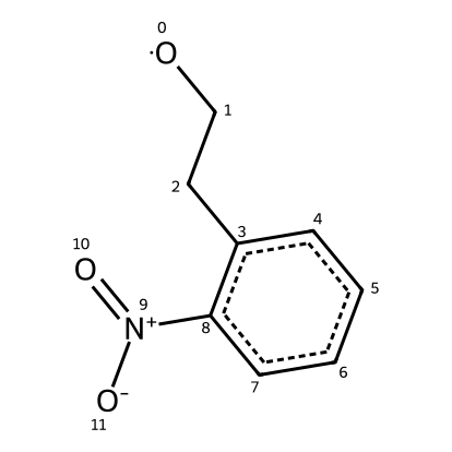 [O]CCc1ccccc1[N+](=O)[O-]